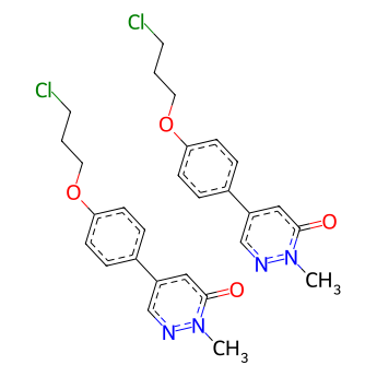 Cn1ncc(-c2ccc(OCCCCl)cc2)cc1=O.Cn1ncc(-c2ccc(OCCCCl)cc2)cc1=O